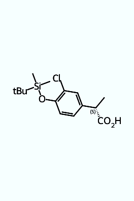 C[C@H](C(=O)O)c1ccc(O[Si](C)(C)C(C)(C)C)c(Cl)c1